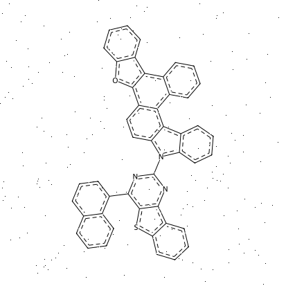 c1ccc2c(-c3nc(-n4c5ccccc5c5c6c7ccccc7c7c8ccccc8oc7c6ccc54)nc4c3sc3ccccc34)cccc2c1